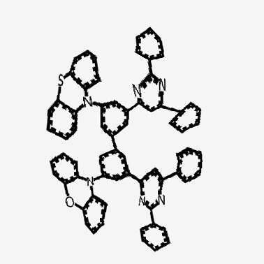 c1ccc(-c2cc(-c3cc(-c4cc(-c5cc(-c6ccccc6)nc(-c6ccccc6)n5)cc(N5c6ccccc6Sc6ccccc65)c4)cc(N4c5ccccc5Oc5ccccc54)c3)nc(-c3ccccc3)n2)cc1